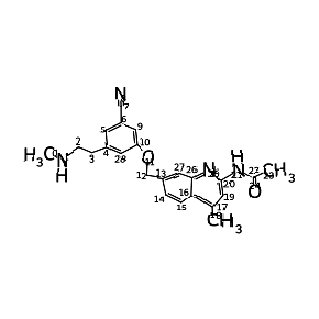 CNCCc1cc(C#N)cc(OCc2ccc3c(C)cc(NC(C)=O)nc3c2)c1